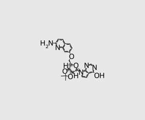 CC1(C)O[C@@H]2[C@H](O1)[C@@H](COc1ccc3ccc(N)nc3c1)O[C@H]2n1ccc2c(O)ncnc21